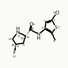 Cc1sc(Cl)cc1NC(=O)[C@@H]1C[C@@H](F)CN1